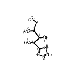 O=NCC(O)C(O)C(O)c1nnn[nH]1